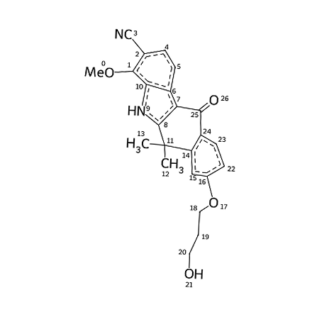 COc1c(C#N)ccc2c3c([nH]c12)C(C)(C)c1cc(OCCCO)ccc1C3=O